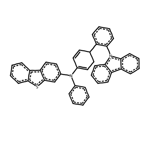 C1=CC(c2ccccc2-n2c3ccccc3c3ccccc32)CC=C1N(c1ccccc1)c1ccc2c(c1)sc1ccccc12